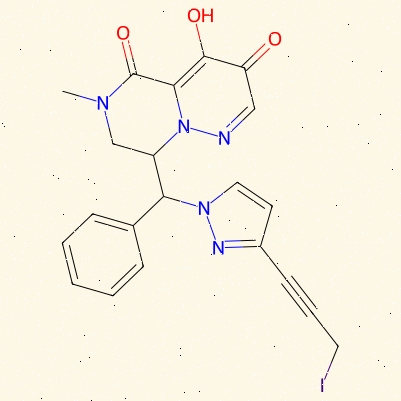 CN1CC(C(c2ccccc2)n2ccc(C#CCI)n2)n2ncc(=O)c(O)c2C1=O